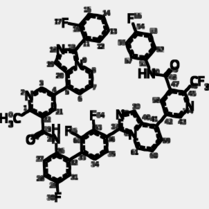 Cc1ncc(-c2cccn3c(-c4ccccc4F)ncc23)cc1C(=O)Nc1ccc(F)cc1-c1ccc(-c2ncc3c(-c4cnc(C(F)(F)F)c(C(=O)Nc5ccc(F)cc5)c4)cccn23)c(F)c1F